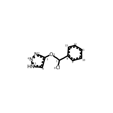 ClC(Oc1c[nH]nn1)c1ccccc1